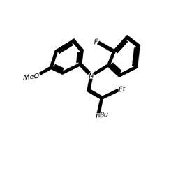 CCCCC(CC)CN(c1cccc(OC)c1)c1ccccc1F